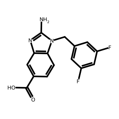 Nc1nc2cc(C(=O)O)ccc2n1Cc1cc(F)cc(F)c1